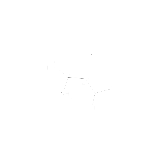 CC(C)[C@@H](C)C(C)N